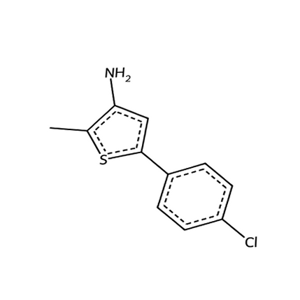 Cc1sc(-c2ccc(Cl)cc2)cc1N